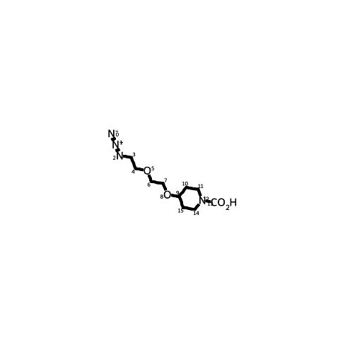 [N-]=[N+]=NCCOCCOC1CCN(C(=O)O)CC1